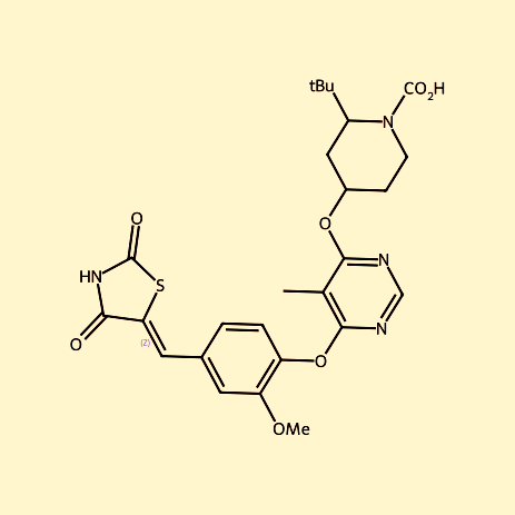 COc1cc(/C=C2\SC(=O)NC2=O)ccc1Oc1ncnc(OC2CCN(C(=O)O)C(C(C)(C)C)C2)c1C